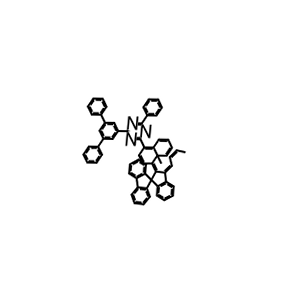 C\C=C/C=C1\C(=C2\C=CC(c3nc(-c4ccccc4)nc(-c4cc(-c5ccccc5)cc(-c5ccccc5)c4)n3)=C3C=CC=CC32C)C2(c3ccccc31)c1ccccc1-c1ccccc12